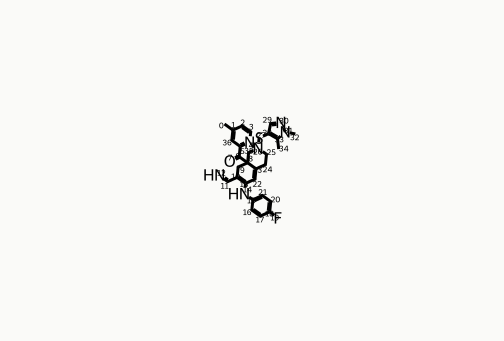 Cc1ccnc(C(=O)C23CC(C=N)=C(Nc4ccc(F)cc4)C=C2CCN(Sc2cnn(C)c2C)C3)c1